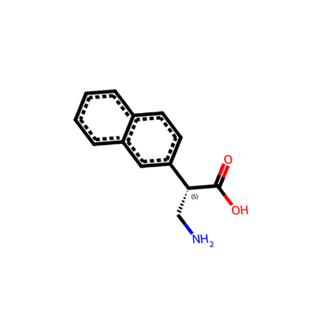 NC[C@@H](C(=O)O)c1ccc2ccccc2c1